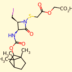 CC1(C)C2CCC1(C)C(OC(=O)N[C@@H]1C(=O)N(SCC(=O)OCC(=O)O)[C@@H]1CI)C2